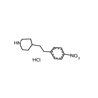 Cl.O=[N+]([O-])c1ccc(CCC2CCNCC2)cc1